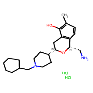 Cc1ccc2c(c1O)C[C@@H](C1CCN(CC3CCCCC3)CC1)O[C@H]2CN.Cl.Cl